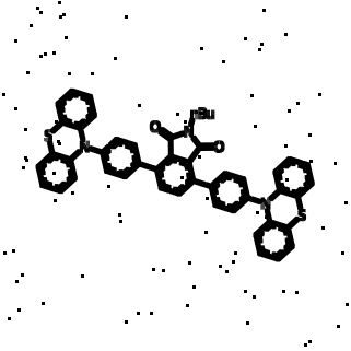 CCCCN1C(=O)c2c(-c3ccc(N4c5ccccc5Sc5ccccc54)cc3)ccc(-c3ccc(N4c5ccccc5Sc5ccccc54)cc3)c2C1=O